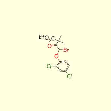 CCOC(=O)C(C)(C)C(=O)C(Br)Oc1ccc(Cl)cc1Cl